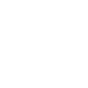 CC(C)(C)[Si](C)(C)OCCCC/C=C(\Br)CC1=C[C@@H](O)CC1=O